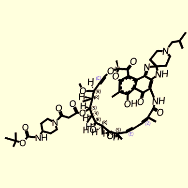 CO[C@H]1/C=C/O[C@@]2(C)Oc3c(C)c(O)c4c(c3C2=O)C2=NC3(CCN(CC(C)C)CC3)NC2=C(NC(=O)/C(C)=C\C=C\[C@H](C)[C@H](O)[C@@H](C)[C@@H](O)[C@@H](C)[C@H](OC(=O)CC(=O)N2CCC(NC(=O)OC(C)(C)C)CC2)[C@@H]1C)C4=O